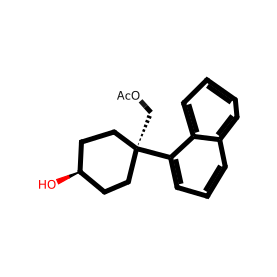 CC(=O)OC[C@]1(c2cccc3ccccc32)CC[C@@H](O)CC1